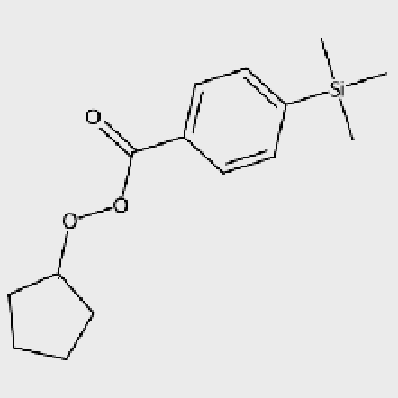 C[Si](C)(C)c1ccc(C(=O)OO[C]2CCCC2)cc1